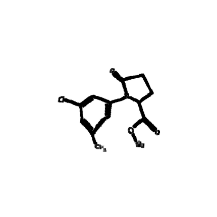 CC(C)(C)OC(=O)C1CCC(=O)N1c1cc(Cl)cc(C(F)(F)F)c1